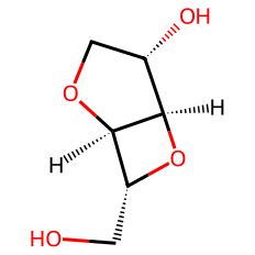 OC[C@H]1O[C@H]2[C@@H]1OC[C@@H]2O